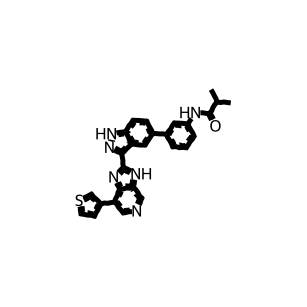 CC(C)C(=O)Nc1cccc(-c2ccc3[nH]nc(-c4nc5c(-c6ccsc6)cncc5[nH]4)c3c2)c1